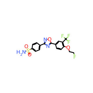 NS(=O)(=O)c1ccc(-c2noc(-c3ccc(OCCF)c(C(F)(F)F)c3)n2)cc1